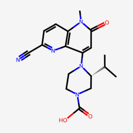 CC(C)[C@@H]1CN(C(=O)O)CCN1c1cc(=O)n(C)c2ccc(C#N)nc12